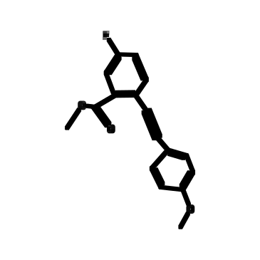 COC(=O)c1cc(F)ccc1C#Cc1ccc(OC)cc1